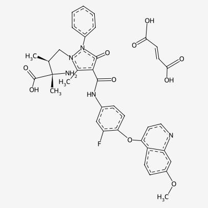 COc1ccc2c(Oc3ccc(NC(=O)c4c(C)n(C[C@H](C)[C@](C)(N)C(=O)O)n(-c5ccccc5)c4=O)cc3F)ccnc2c1.O=C(O)/C=C/C(=O)O